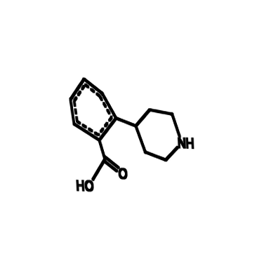 O=C(O)c1ccccc1C1CCNCC1